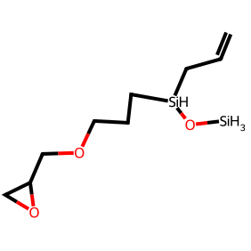 C=CC[SiH](CCCOCC1CO1)O[SiH3]